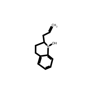 C=CCC1CCc2ccccc2N1O